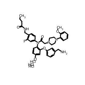 CCCC(=O)NCc1ccc(N(C(=O)CN2CCN(c3ccccc3OC)CC2)c2ccc(Cl)cc2Oc2cccc(CN)c2)cc1F.Cl.Cl.Cl